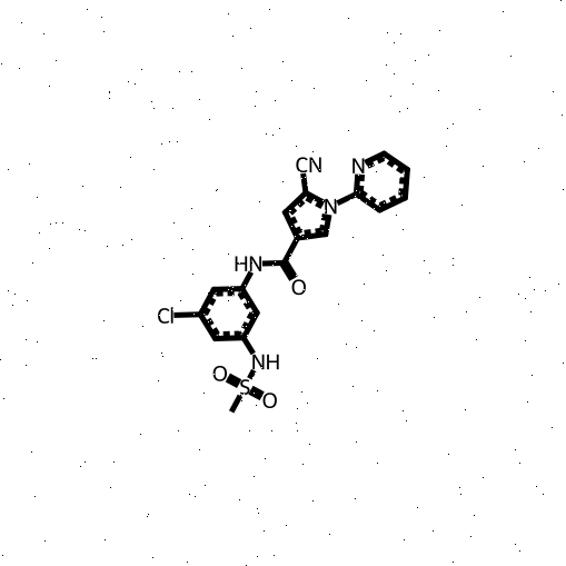 CS(=O)(=O)Nc1cc(Cl)cc(NC(=O)c2cc(C#N)n(-c3ccccn3)c2)c1